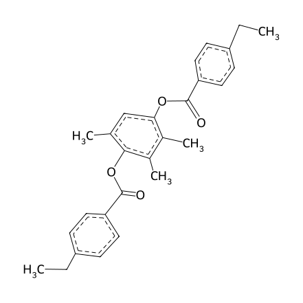 CCc1ccc(C(=O)Oc2cc(C)c(OC(=O)c3ccc(CC)cc3)c(C)c2C)cc1